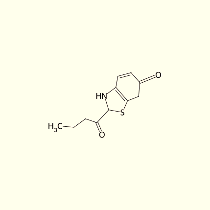 CCCC(=O)C1NC2=C(CC(=O)C=C2)S1